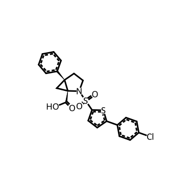 O=C(O)[C@@]12C[C@]1(c1ccccc1)CCN2S(=O)(=O)c1ccc(-c2ccc(Cl)cc2)s1